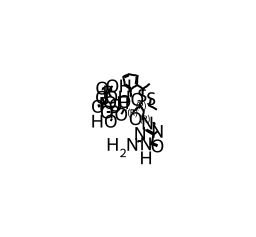 CCSSC(C)c1ccccc1C(=O)O[C@@H]1C[C@H](n2cnc3c(=O)[nH]c(N)nc32)O[C@@H]1COP(=O)(O)OP(=O)(O)OP(=O)(O)O